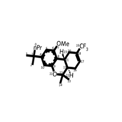 CCCC(C)(C)c1cc(OC)c2c(c1)OC(C)(C)[C@@H]1CC=C(C(F)(F)F)C[C@@H]21